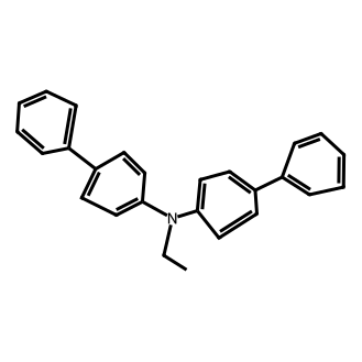 CCN(c1ccc(-c2ccccc2)cc1)c1ccc(-c2ccccc2)cc1